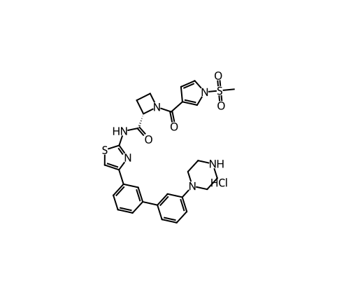 CS(=O)(=O)n1ccc(C(=O)N2CC[C@H]2C(=O)Nc2nc(-c3cccc(-c4cccc(N5CCNCC5)c4)c3)cs2)c1.Cl